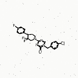 O=c1nc(N2CCC(c3ccc(F)cc3)C(F)(F)C2)ncn1Cc1ccc(Cl)cc1